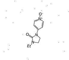 CCN1CCN(c2cc[n+]([O-])cc2)C1=O